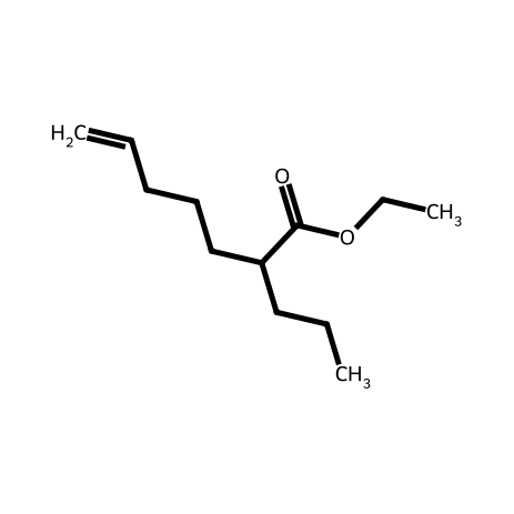 C=CCCCC(CCC)C(=O)OCC